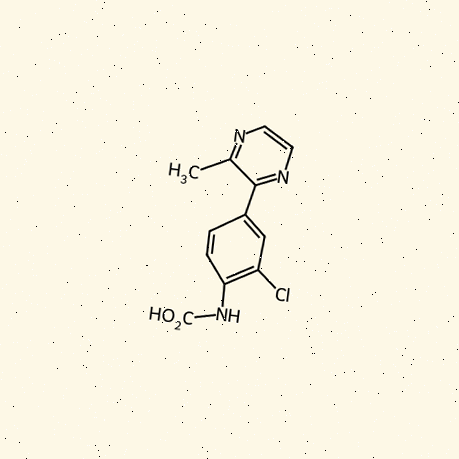 Cc1nccnc1-c1ccc(NC(=O)O)c(Cl)c1